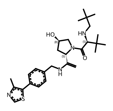 C=C(NCc1ccc(-c2scnc2C)cc1)[C@@H]1C[C@@H](O)CN1C(=O)[C@@H](NCC(C)(C)C)C(C)(C)C